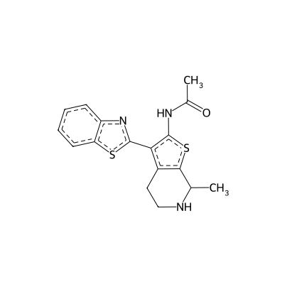 CC(=O)Nc1sc2c(c1-c1nc3ccccc3s1)CCNC2C